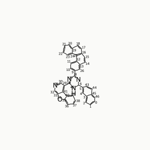 c1ccc2cc(C3N=C(c4ccc5c(ccc6ccc7ccccc7c65)c4)N=C(c4cncc5oc6ccccc6c45)N3)ccc2c1